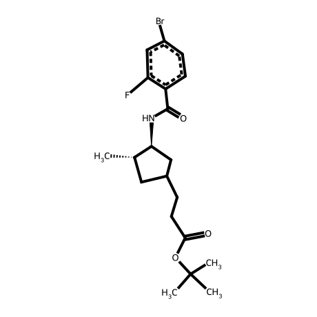 C[C@H]1CC(CCC(=O)OC(C)(C)C)C[C@@H]1NC(=O)c1ccc(Br)cc1F